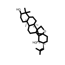 CC(C)=C[C@@H]1CCC23CC4(CO2)C(CCC2[C@@]5(C)CCC(O)C(C)(C)C5CC[C@]24C)C3[C@H]1O